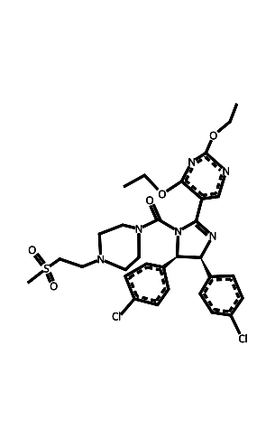 CCOc1ncc(C2=N[C@@H](c3ccc(Cl)cc3)[C@@H](c3ccc(Cl)cc3)N2C(=O)N2CCN(CCS(C)(=O)=O)CC2)c(OCC)n1